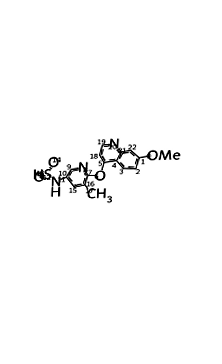 COc1ccc2c(Oc3ncc(N[SH](=O)=O)cc3C)ccnc2c1